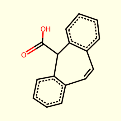 O=C(O)C1c2ccccc2C=Cc2ccccc21